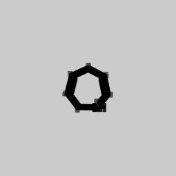 [C]1=CCC=CCN1